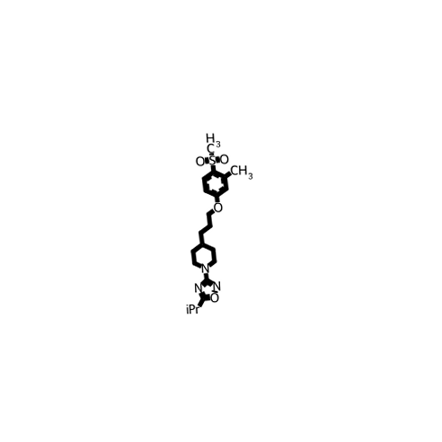 Cc1cc(OCCCC2CCN(c3noc(C(C)C)n3)CC2)ccc1S(C)(=O)=O